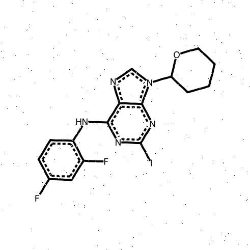 Fc1ccc(Nc2nc(I)nc3c2ncn3C2CCCCO2)c(F)c1